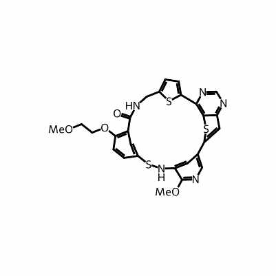 COCCOc1ccc2cc1C(=O)NCc1ccc(s1)-c1ncnc3cc(sc13)-c1cnc(OC)c(c1)NS2